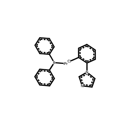 CC(C)B(c1ccccc1)c1ccccc1.Clc1ccccc1-n1ccnc1